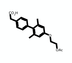 CC(=O)OCCOc1cc(C)c(-c2ccc(CC(=O)O)cc2)c(C)c1